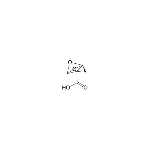 O=C(O)[C@@]12C[C@]13COC2O3